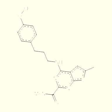 CNC(=O)c1nc(NCCCc2ccc(OC(F)(F)F)cc2)c2cc(C)sc2n1